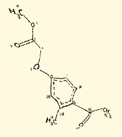 COC(=O)COc1ccc(C(C)=O)c(C)c1